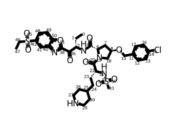 CC[C@H](NC(=O)[C@@H]1C[C@@H](OCc2ccc(Cl)cc2)CN1C(=O)[C@@H](CCC1CCNCC1)NS(C)(=O)=O)C(=O)c1nc2cc(S(=O)(=O)CC)ccc2o1